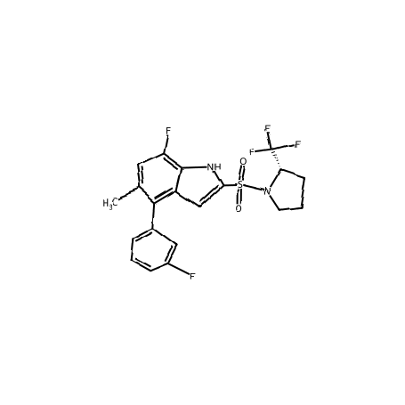 Cc1cc(F)c2[nH]c(S(=O)(=O)N3CCC[C@H]3C(F)(F)F)cc2c1-c1cccc(F)c1